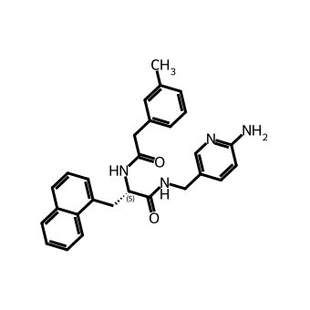 Cc1cccc(CC(=O)N[C@@H](Cc2cccc3ccccc23)C(=O)NCc2ccc(N)nc2)c1